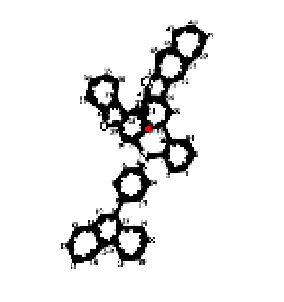 c1ccc(N(c2ccc(-c3cc4ccccc4c4ccccc34)cc2)c2ccc3c(c2)oc2ccccc23)c(-c2ccc3oc4cc5ccccc5cc4c3c2)c1